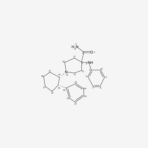 NC(=O)C1(Nc2ccccc2)CCN([C@H]2CCCC[C@H]2c2ccccc2)CC1